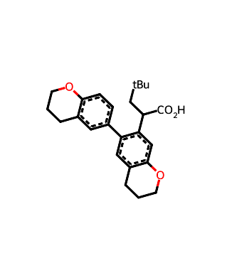 CC(C)(C)CC(C(=O)O)c1cc2c(cc1-c1ccc3c(c1)CCCO3)CCCO2